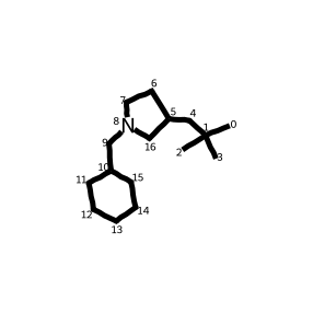 CC(C)(C)CC1CCN(CC2CCCCC2)C1